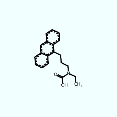 CCN(CCCc1c2ccccc2cc2ccccc12)C(=O)O